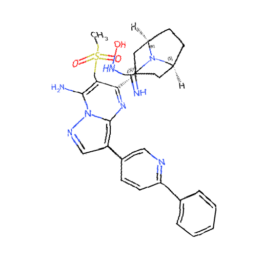 CS(=O)(=O)c1c([C@@H]2C[C@H]3CC[C@@H](C2)N3C(=N)NO)nc2c(-c3ccc(-c4ccccc4)nc3)cnn2c1N